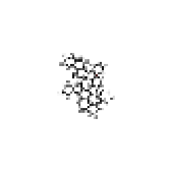 CC1(C)c2ccccc2-c2c1c1c3ccccc3ccc1c1c3ccccc3n(-c3nc(-c4ccccc4)c4ccc5ccccc5c4n3)c21